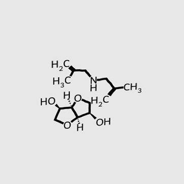 C=C(C)CNCC(=C)C.O[C@@H]1CO[C@H]2[C@@H]1OC[C@H]2O